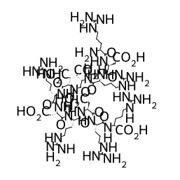 N=C(N)NCCC[C@H](NC(=O)[C@H](CCCNC(=N)N)NC(=O)[C@H](CC(=O)O)NC(=O)[C@H](CCCNC(=N)N)NC(=O)[C@H](CC(=O)O)NC(=O)[C@H](CCCNC(=N)N)NC(=O)[C@H](CC(=O)O)NC(=O)[C@H](CC(=O)O)NC(=O)[C@H](CCCNC(=N)N)NC(=O)[C@H](CC(=O)O)NC(=O)[C@@H](N)CCCNC(=N)N)C(=O)O